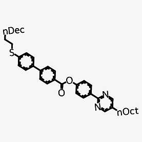 CCCCCCCCCCCCSc1ccc(-c2ccc(C(=O)Oc3ccc(-c4ncc(CCCCCCCC)cn4)cc3)cc2)cc1